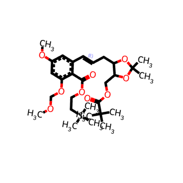 COCOc1cc(OC)cc(/C=C/CC2OC(C)(C)OC2COC(=O)C(C)(C)C)c1C(=O)OCC[Si](C)(C)C